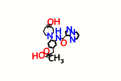 C[C@]1(CO)Cc2cc(NC(=O)c3cnn4cccnc34)c(N3CCC[C@H](O)CC3)cc2O1